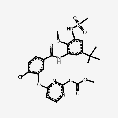 COC(=O)Oc1nccc(Oc2cc(C(=O)Nc3cc(C(C)(C)C)cc(NS(C)(=O)=O)c3OC)ccc2Cl)n1